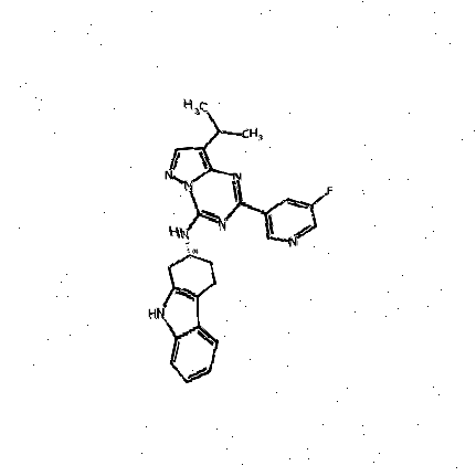 CC(C)c1cnn2c(N[C@@H]3CCc4c([nH]c5ccccc45)C3)nc(-c3cncc(F)c3)nc12